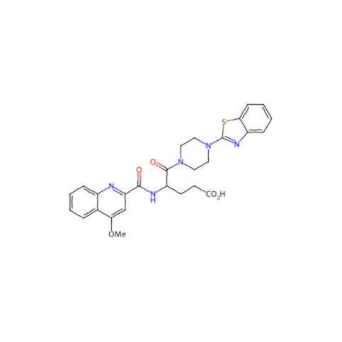 COc1cc(C(=O)NC(CCC(=O)O)C(=O)N2CCN(c3nc4ccccc4s3)CC2)nc2ccccc12